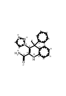 CC1(c2ccccc2)C(n2ccnn2)=C(C(N)=O)Nc2ccccc21